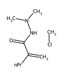 C=C(CCC)C(=O)NN(C)C.CCl